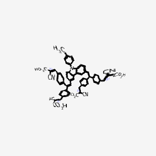 Cc1ccc(-n2c3ccc(C=C(c4ccc(/C=C(\C#N)C(=O)O)cc4)c4ccc(/C=C(\C#N)C(=O)O)cc4)cc3c3cc(C=C(c4ccc(/C=C(\C#N)C(=O)O)cc4)c4ccc(/C=C(\C#N)C(=O)O)cc4)ccc32)cc1